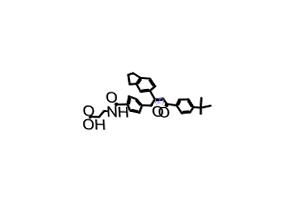 CC(C)(C)c1ccc(C(=O)/C=C(\C(=O)c2ccc(C(=O)NCCC(=O)O)cc2)c2ccc3c(c2)CCC3)cc1